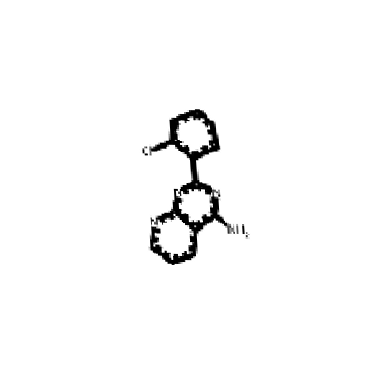 Nc1nc(-c2ccccc2Cl)nc2ncccc12